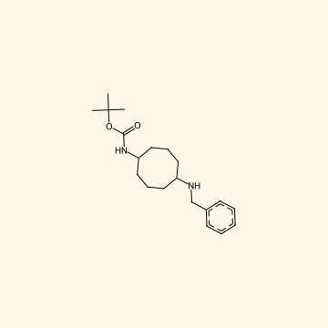 CC(C)(C)OC(=O)NC1CCCC(NCc2ccccc2)CCC1